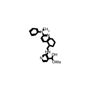 COC(O)c1ccncc1NCC1CCCc2nc(N(C)c3ccccc3)ccc21